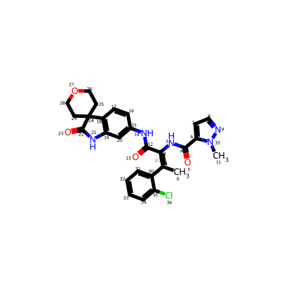 C/C(=C(\NC(=O)c1ccnn1C)C(=O)Nc1ccc2c(c1)NC(=O)C21CCOCC1)c1ccccc1Cl